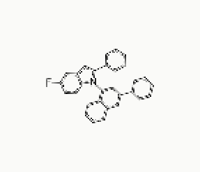 Fc1ccc2c(c1)cc(-c1ccccc1)n2-c1cc(-c2ccccc2)cc2ccccc12